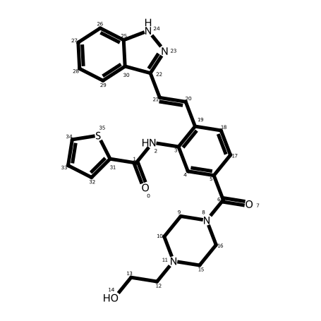 O=C(Nc1cc(C(=O)N2CCN(CCO)CC2)ccc1C=Cc1n[nH]c2ccccc12)c1cccs1